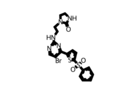 O=C1NCCN1CCNc1ncc(Br)c(-c2ccc(S(=O)(=O)c3ccccc3)s2)n1